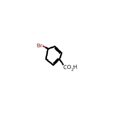 O=C(O)C1=CCC(Br)C=C1